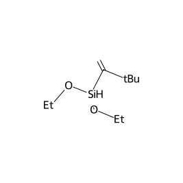 C=C([SiH](OCC)OCC)C(C)(C)C